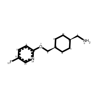 NC[C@H]1CC[C@@H](COc2ccc(F)cn2)CC1